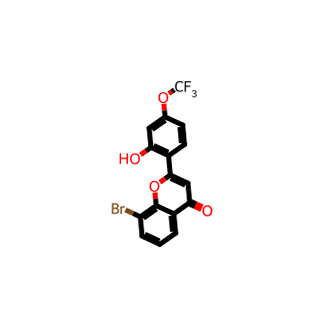 O=c1cc(-c2ccc(OC(F)(F)F)cc2O)oc2c(Br)cccc12